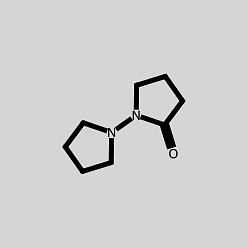 O=C1CCCN1N1CCCC1